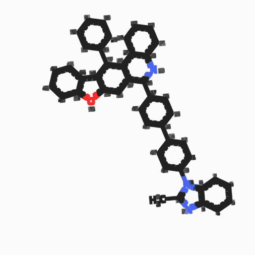 Cc1nc2ccccc2n1-c1ccc(-c2ccc(-c3nc4ccccc4c4c(-c5ccccc5)c5c(cc34)oc3ccccc35)cc2)cc1